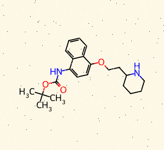 CC(C)(C)OC(=O)Nc1ccc(OCCC2CCCCN2)c2ccccc12